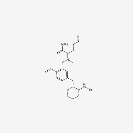 C=CCCC(C(=C)NC)N(C)Cc1cc(CC2CCCCC2NCC)ccc1C=C